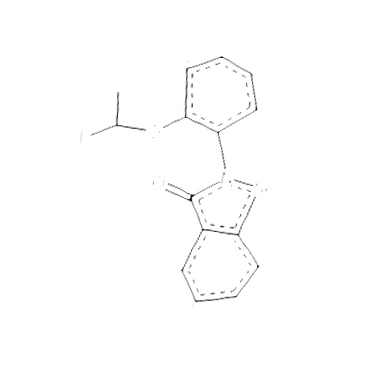 O=c1c2ccccc2[se]n1-c1ccccc1OC(F)F